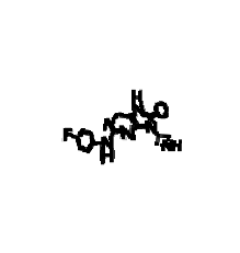 O=c1[nH]c2cnc(Nc3ccc(F)cc3)nc2n1C1CNC1